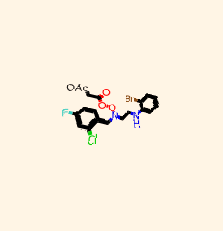 CC(=O)OCC(=O)OON(CCNc1ccccc1Br)Cc1ccc(F)cc1Cl